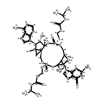 CO[C@H]1[C@H]2O[P@@](=O)(OCOC(=O)OC(C)C)OC[C@@]34C[C@@H]3[C@@H](n3cnc5c(N)ncnc53)[C@H](O)[C@@H]4O[P@](=O)(SCOC(=O)OC(C)C)OC[C@H]1O[C@H]2n1cnc2c(=O)[nH]c(N)nc21